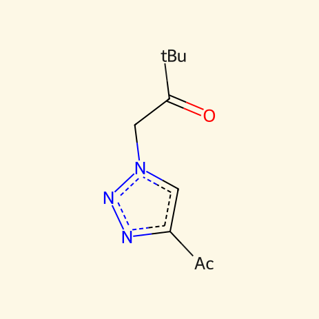 CC(=O)c1cn(CC(=O)C(C)(C)C)nn1